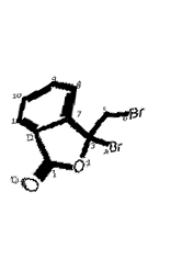 O=C1OC(Br)(CBr)c2ccccc21